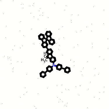 CC1(C)c2cc(-c3ccc4c(c3)C3(c5ccccc5-c5ccccc53)c3ccccc3-4)ccc2-c2ccc(N(c3ccc(-c4ccccc4)cc3)c3ccc(-c4ccccc4)cc3)cc21